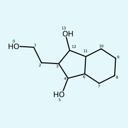 OCCC1C(O)C2CCCCC2C1O